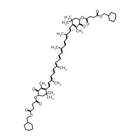 CC1=C(/C=C/C(C)=C/C=C/C(C)=C/C=C/C=C(C)/C=C/C=C(C)/C=C/C2=C(C)C(=O)C(OC(=O)CCC(=O)OCC3CCCCC3)CC2(C)C)C(C)(C)CC(OC(=O)CCC(=O)OCC2CCCCC2)C1=O